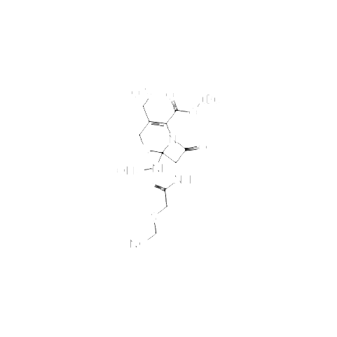 CC(=O)OCC1=C(C(=O)OC(C)(C)C)N2C(=O)[C@H](NC(=O)CSCC#N)C2(NC=O)SC1